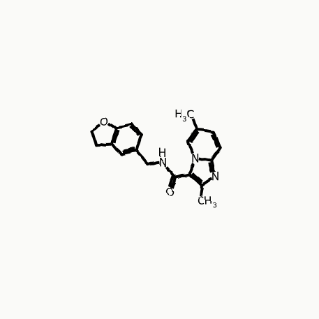 Cc1ccc2nc(C)c(C(=O)NCc3ccc4c(c3)CCO4)n2c1